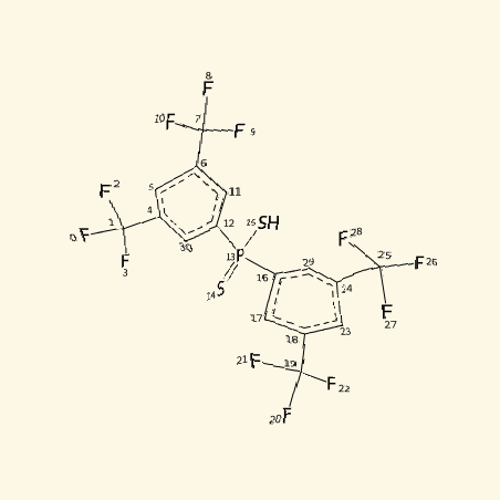 FC(F)(F)c1cc(C(F)(F)F)cc(P(=S)(S)c2cc(C(F)(F)F)cc(C(F)(F)F)c2)c1